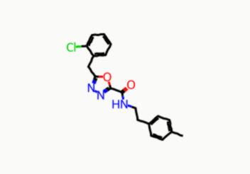 Cc1ccc(CCNC(=O)c2nnc(Cc3ccccc3Cl)o2)cc1